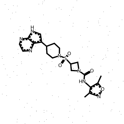 Cc1noc(C)c1NC(=O)N1CC(S(=O)(=O)N2CCC(c3c[nH]c4nccnc34)CC2)C1